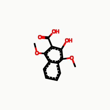 COc1c(O)c(C(=O)O)c(OC)c2ccccc12